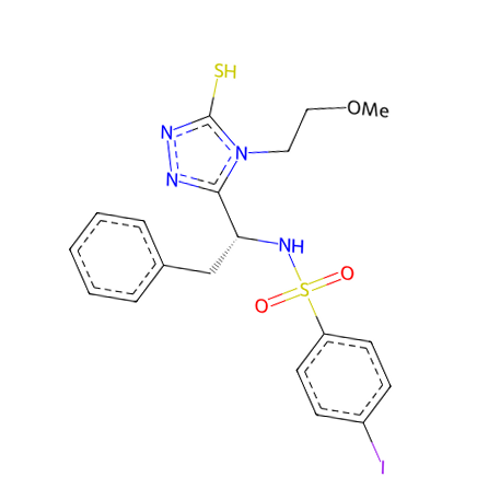 COCCn1c(S)nnc1[C@@H](Cc1ccccc1)NS(=O)(=O)c1ccc(I)cc1